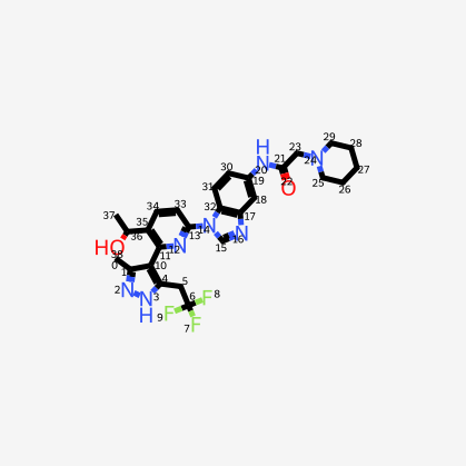 Cc1n[nH]c(CC(F)(F)F)c1-c1nc(-n2cnc3cc(NC(=O)CN4CCCCC4)ccc32)ccc1C(C)O